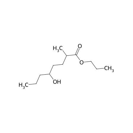 CCCOC(=O)C(C)CCC(O)CCC